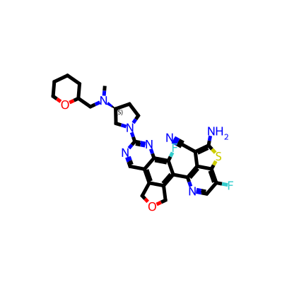 CN(CC1CCCCO1)[C@H]1CCN(c2ncc3c4c(c(-c5ncc(F)c6sc(N)c(C#N)c56)c(F)c3n2)COC4)C1